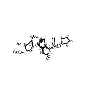 CC(=O)OC[C@H]1O[C@@H](n2ncc3c(NOC4CCCC4)nc(Cl)nc32)[C@H](OC(C)=O)[C@@H]1OC(C)=O